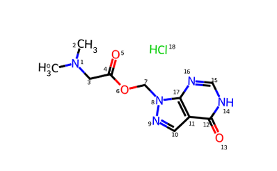 CN(C)CC(=O)OCn1ncc2c(=O)[nH]cnc21.Cl